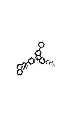 Cc1ccc2c(c1)c1cc(C3CCCCC3)ccc1n2-c1ccc(-c2cc3ccc4ccccc4n3n2)cc1